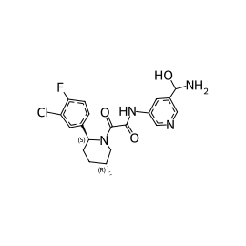 C[C@@H]1CC[C@@H](c2ccc(F)c(Cl)c2)N(C(=O)C(=O)Nc2cncc(C(N)O)c2)C1